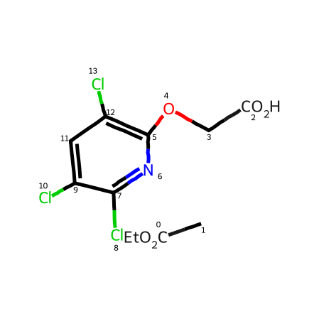 CCOC(C)=O.O=C(O)COc1nc(Cl)c(Cl)cc1Cl